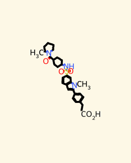 C[C@H]1CCCCN1C(=O)C1CCC(NS(=O)(=O)c2ccc3cc(-c4ccc(CCC(=O)O)cc4)n(C)c3c2)CC1